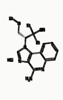 CCOC[C@@H](n1cnc2c(N)nc3ccccc3c21)C(O)(CC)CC.Cl